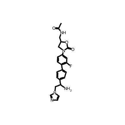 CC(=O)NCC1CN(c2ccc(-c3ccc(C(N)Cn4ccnc4)cc3)c(F)c2)C(=O)O1